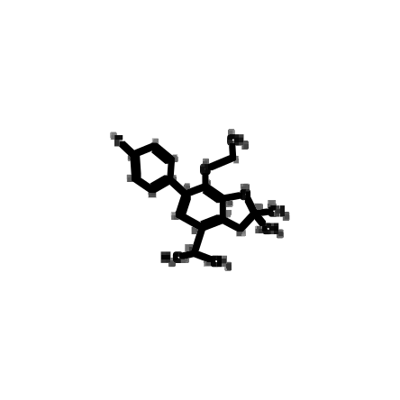 CCOc1c(-c2ccc(F)cc2)cc(C(C)C)c2c1OC(C)(C)C2